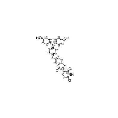 O=C1CCC(N2Cc3ccc(CN4CCN(C(c5ccc(O)cc5)c5ccc(O)cc5)CC4)cc3C2=O)C(=O)N1